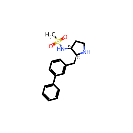 CS(=O)(=O)N[C@H]1CCN[C@H]1Cc1cccc(-c2ccccc2)c1